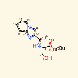 CC(C)(C)OC(=O)[C@H](CO)NC(=O)c1cn2ccccc2n1